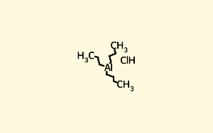 CCC[CH2][Al]([CH2]CC)[CH2]CCC.Cl